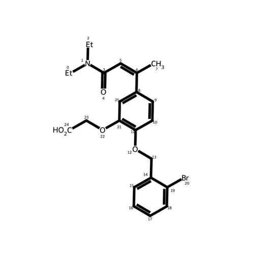 CCN(CC)C(=O)/C=C(/C)c1ccc(OCc2ccccc2Br)c(OCC(=O)O)c1